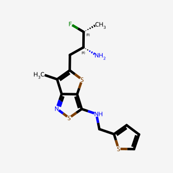 Cc1c(C[C@@H](N)[C@@H](C)F)sc2c(NCc3cccs3)snc12